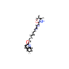 CC(C)C(C)NC(=O)/C=C/C=C/CCCCCCCOc1ccc2ccccc2n1